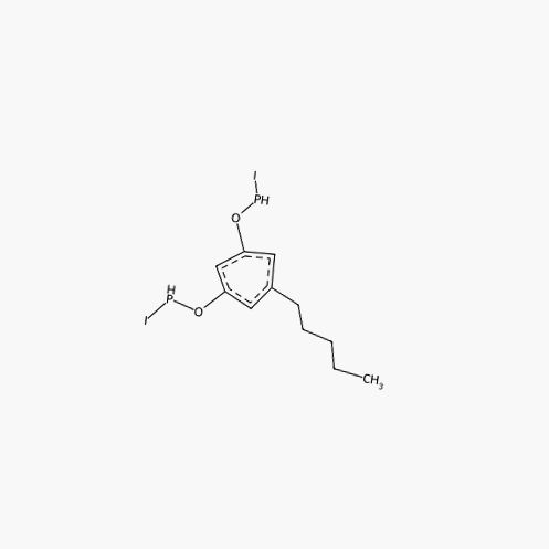 CCCCCc1cc(OPI)cc(OPI)c1